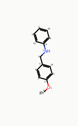 CC(C)Oc1ccc(CNc2ccccc2)cc1